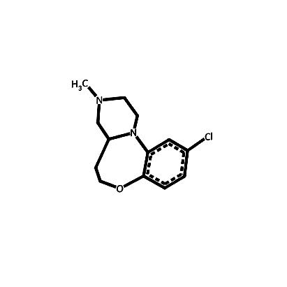 CN1CCN2c3cc(Cl)ccc3OCCC2C1